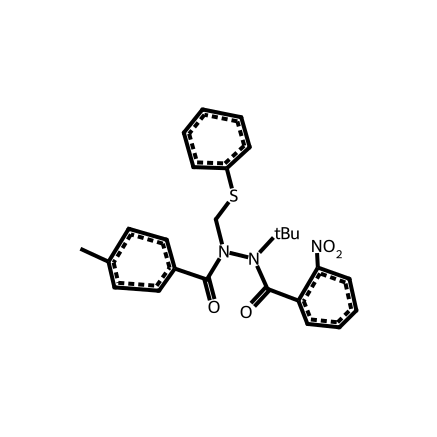 Cc1ccc(C(=O)N(CSc2ccccc2)N(C(=O)c2ccccc2[N+](=O)[O-])C(C)(C)C)cc1